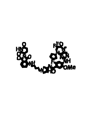 COc1cc(C(=O)NC2CCN(CCCCCNc3cccc4c3C(=O)N(C3CCC(=O)NC3=O)C4=O)C2)c(F)cc1Nc1ncc2c(n1)N(C1CCCC1)CC(F)(F)C(=O)N2C